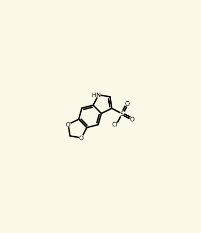 O=S(=O)(Cl)c1c[nH]c2cc3c(cc12)OCO3